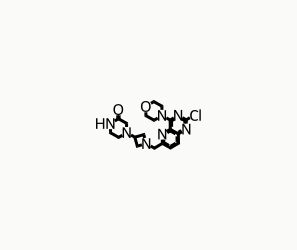 O=C1CN(C2CN(Cc3ccc4nc(Cl)nc(N5CCOCC5)c4n3)C2)CCN1